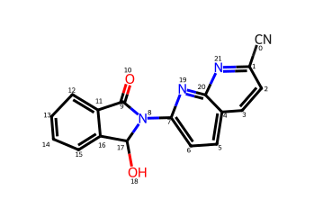 N#Cc1ccc2ccc(N3C(=O)c4ccccc4C3O)nc2n1